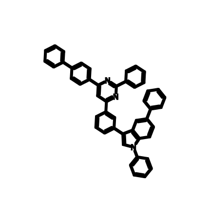 c1ccc(-c2ccc(-c3cc(-c4cccc(-c5cn(-c6ccccc6)c6ccc(-c7ccccc7)cc56)c4)nc(-c4ccccc4)n3)cc2)cc1